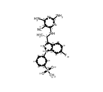 C[C@H](Nc1nc(N)nc(N)c1C#N)c1nn(-c2cccc(S(C)(=O)=O)c2)c2cc(F)ccc12